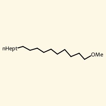 [CH2]CCCCCCCCCCCCCCCCOC